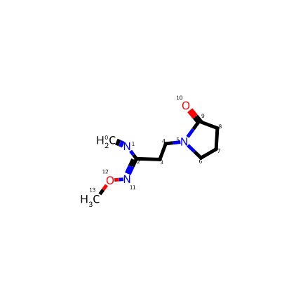 C=N/C(CCN1CCCC1=O)=N\OC